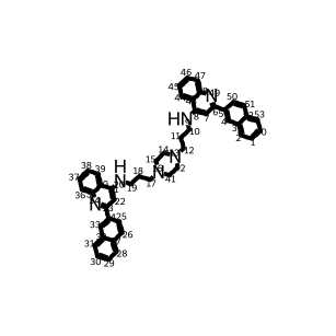 c1ccc2cc(-c3cc(NCCCN4CCN(CCCNc5cc(-c6ccc7ccccc7c6)nc6ccccc56)CC4)c4ccccc4n3)ccc2c1